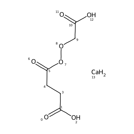 O=C(O)CCC(=O)OOCC(=O)O.[CaH2]